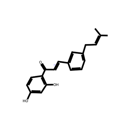 CC(C)=CCc1cccc(/C=C/C(=O)c2ccc(O)cc2O)c1